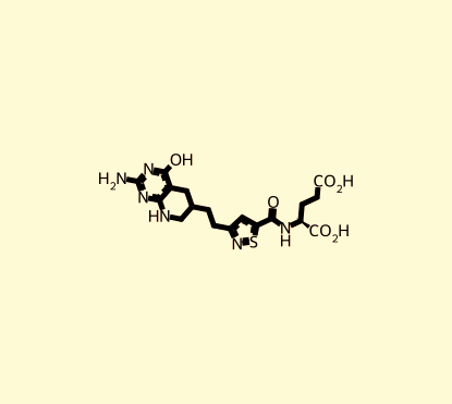 Nc1nc(O)c2c(n1)NCC(CCc1cc(C(=O)N[C@@H](CCC(=O)O)C(=O)O)sn1)C2